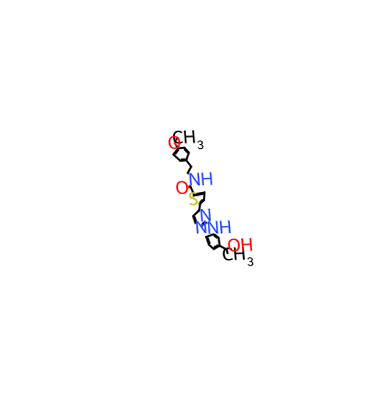 COc1ccc(CCNC(=O)c2ccc(-c3ccnc(Nc4cccc(C(C)O)c4)n3)s2)cc1